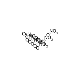 O=[N+]([O-])[O-].O=[N+]([O-])[O-].O=[N+]([O-])[O-].O=[N+]([O-])[O-].O=[N+]([O-])[O-].O=[N+]([O-])[O-].O=[N+]([O-])[O-].[Ce+3].[Zr+4]